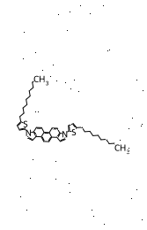 CCCCCCCCCCc1ccc(-n2ccc3c4ccc5c(ccc6c5ccn6-c5ccc(CCCCCCCCCC)s5)c4ccc32)s1